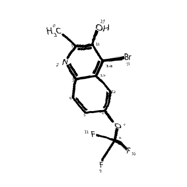 Cc1nc2ccc(OC(F)(F)F)cc2c(Br)c1O